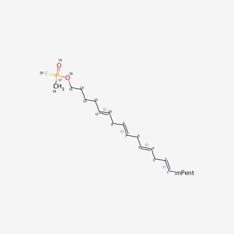 CCCCC/C=C/C/C=C/C/C=C/C/C=C/CCCCOP(C)(=O)F